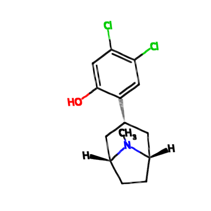 CN1[C@@H]2CC[C@H]1C[C@@H](c1cc(Cl)c(Cl)cc1O)C2